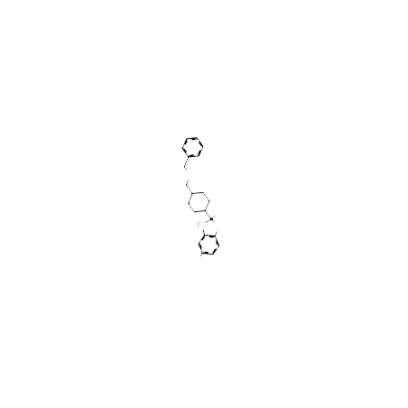 CC1(C2CCC(COCc3ccccc3)CC2)Nc2cc(C(=O)O)ccc2O1